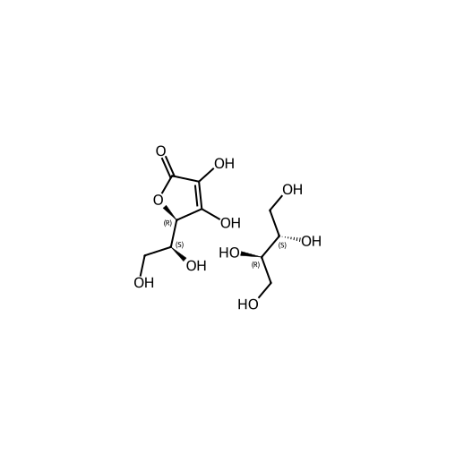 O=C1O[C@H]([C@@H](O)CO)C(O)=C1O.OC[C@@H](O)[C@@H](O)CO